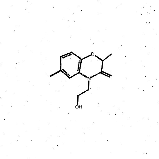 C=C1C(C)Oc2ccc(C)cc2N1CCO